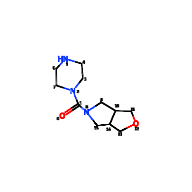 O=C(N1CCNCC1)N1CC2COCC2C1